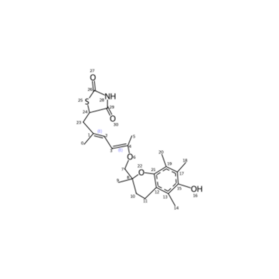 C/C(=C\C=C(/C)OCC1(C)CCc2c(C)c(O)c(C)c(C)c2O1)CC1SC(=O)NC1=O